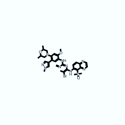 C=N/C(=N\C(Nc1ccc2nccnc2c1P(C)(C)=O)=C(/C)Br)Nc1cc(-c2cnn(C)c2)c(N2CC(C)OC(C)C2)cc1OC